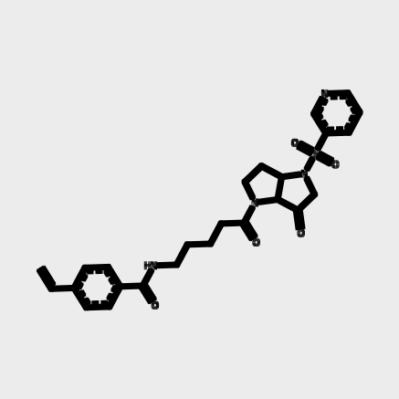 C=Cc1ccc(C(=O)NCCCCC(=O)N2CCC3C2C(=O)CN3S(=O)(=O)c2cccnc2)cc1